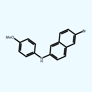 COc1ccc(Nc2ccc3cc(Br)ccc3c2)cc1